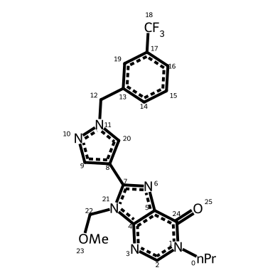 CCCn1cnc2c(nc(-c3cnn(Cc4cccc(C(F)(F)F)c4)c3)n2COC)c1=O